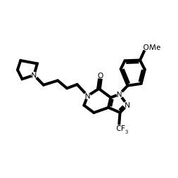 COc1ccc(-n2nc(C(F)(F)F)c3c2C(=O)N(CCCCN2CCCC2)CC3)cc1